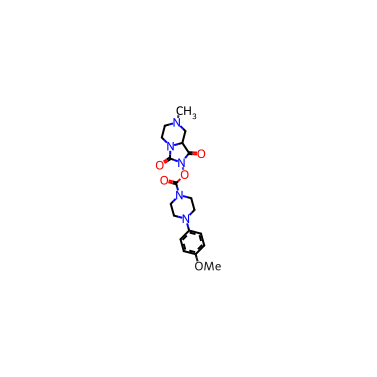 COc1ccc(N2CCN(C(=O)ON3C(=O)C4CN(C)CCN4C3=O)CC2)cc1